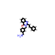 NCc1cccc(Cn2c(C=Cc3ccccc3)nc3ccccc3c2=O)c1